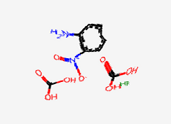 F.Nc1ccccc1[N+](=O)[O-].O=C(O)O.O=C(O)O